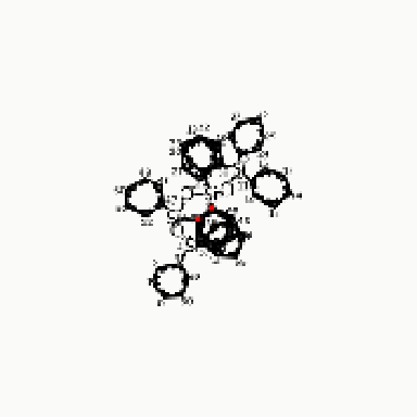 c1ccc([Si](O[Si](O[Si](O[Si](c2ccccc2)(c2ccccc2)c2ccccc2)(c2ccccc2)c2ccccc2)(c2ccccc2)c2ccccc2)c2ccccc2)cc1